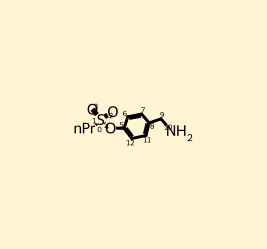 CCCS(=O)(=O)Oc1ccc(CN)cc1